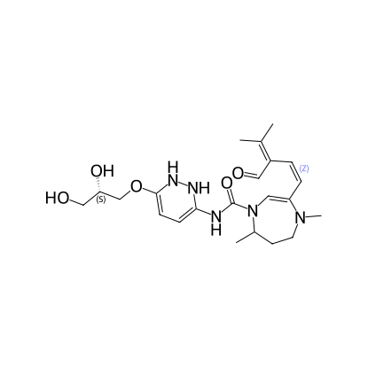 CC(C)=C(C=O)/C=C\C1=CN(C(=O)NC2=CC=C(OC[C@@H](O)CO)NN2)C(C)CCN1C